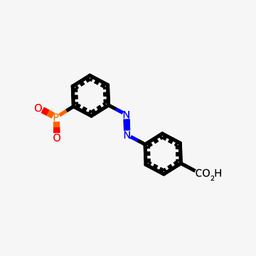 O=C(O)c1ccc(N=Nc2cccc(P(=O)=O)c2)cc1